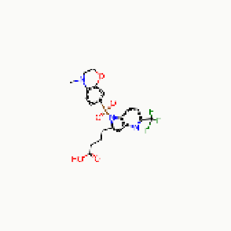 CN1CCOc2cc(S(=O)(=O)n3c(CCCC(=O)O)cc4nc(C(F)(F)F)ccc43)ccc21